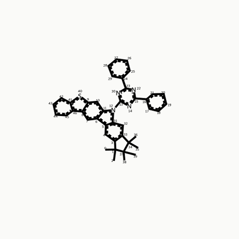 CC1(C)c2cc3c4cc5c(cc4n(-c4nc(-c6ccccc6)nc(-c6ccccc6)n4)c3cc2C(C)(C)C1(C)C)sc1ccccc15